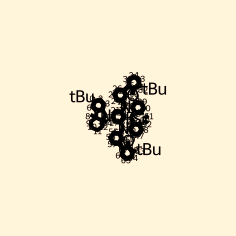 CC(C)(C)c1ccc2c(c1)C1(C)CCCCC1(C)N2c1cc2c3c(c1)N(c1cccc4c1oc1c(C(C)(C)C)cccc14)c1cccc4c1B3c1c(cccc1[Si]4(C)C)N2c1cccc2c1oc1c(C(C)(C)C)cccc12